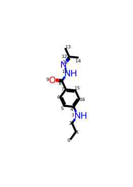 CCCNc1ccc(C(=O)NN=C(C)C)cc1